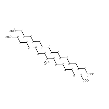 CCCCCCCCCCCCCCCCCCCCCCCCCC(=O)[O-].CCCCCCCCCCCCCCCCCCCCCCCCCC(=O)[O-].[Ca+2]